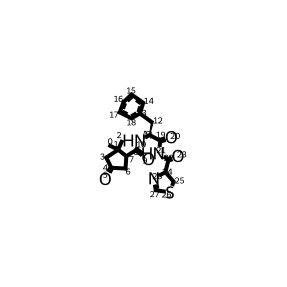 CC1(C)CC(=O)CC1C(=O)N[C@@H](Cc1ccccc1)C(=O)NC(=O)C1CSC=N1